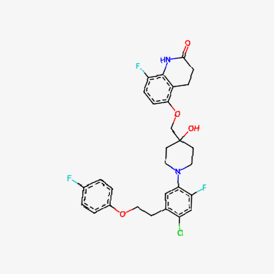 O=C1CCc2c(OCC3(O)CCN(c4cc(CCOc5ccc(F)cc5)c(Cl)cc4F)CC3)ccc(F)c2N1